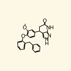 COc1cc(C2CC(=O)Nc3n[nH]cc32)ccc1Oc1ccccc1Cc1ccccc1